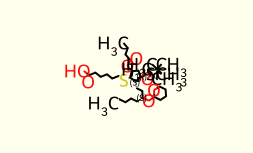 CCCCC[C@@H](CC[C@@H]1C(SCCCCCC(=O)O)=C(OC(=O)CCC)C[C@H]1O[Si](C)(C)C(C)(C)C)OC1CCCCO1